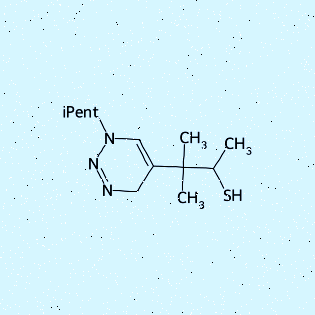 CCCC(C)N1C=C(C(C)(C)C(C)S)CN=N1